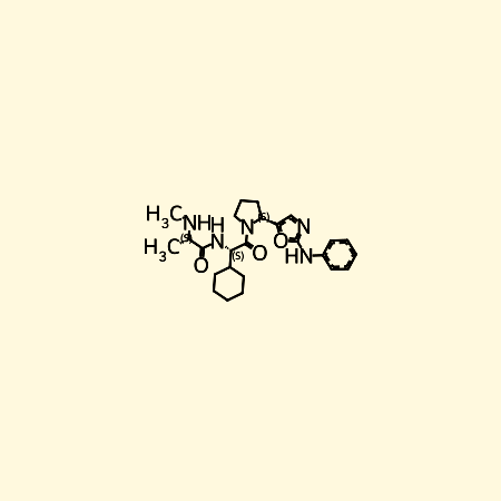 CN[C@@H](C)C(=O)N[C@H](C(=O)N1CCC[C@H]1c1cnc(Nc2ccccc2)o1)C1CCCCC1